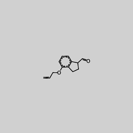 C=CCOc1cccc2c1CCC2C=O